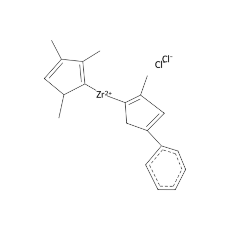 CC1=CC(C)[C]([Zr+2][C]2=C(C)C=C(c3ccccc3)C2)=C1C.[Cl-].[Cl-]